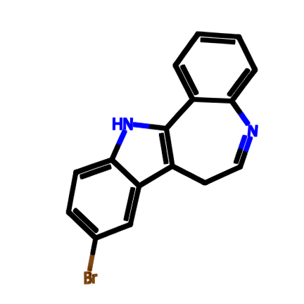 Brc1ccc2[nH]c3c(c2c1)CC=Nc1ccccc1-3